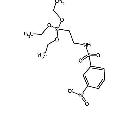 CCO[Si](CCNS(=O)(=O)c1cccc([N+](=O)[O-])c1)(OCC)OCC